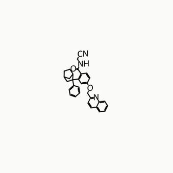 N#CCNC(=O)c1ccc(OCc2ccc3ccccc3n2)cc1C1(c2ccccc2)CC2CCC1C2